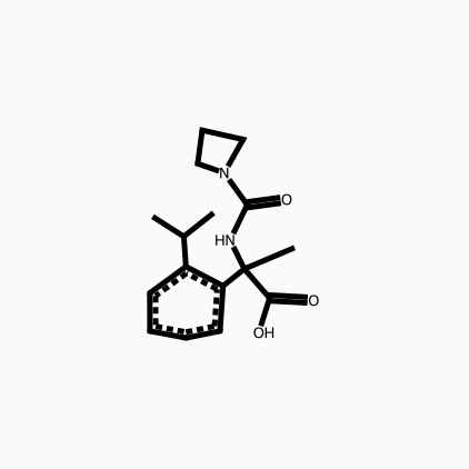 CC(C)c1ccccc1C(C)(NC(=O)N1CCC1)C(=O)O